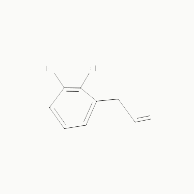 C=CCc1cccc(O)c1Cl